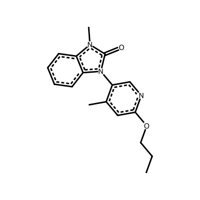 CCCOc1cc(C)c(-n2c(=O)n(C)c3ccccc32)cn1